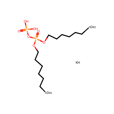 CCCCCCCCCCCCCCCCOP(=O)(OCCCCCCCCCCCCCCCC)OP(=O)(O)O.[KH]